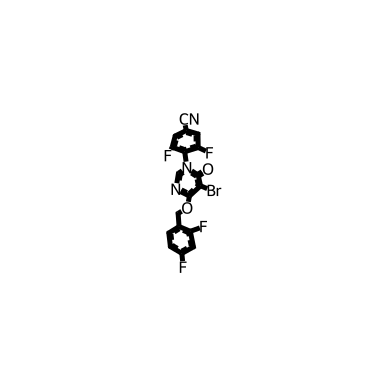 N#Cc1cc(F)c(-n2cnc(OCc3ccc(F)cc3F)c(Br)c2=O)c(F)c1